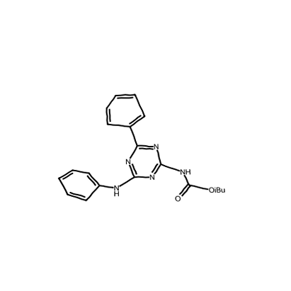 CC(C)COC(=O)Nc1nc(Nc2ccccc2)nc(-c2ccccc2)n1